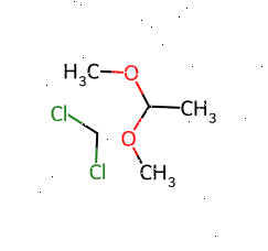 COC(C)OC.ClCCl